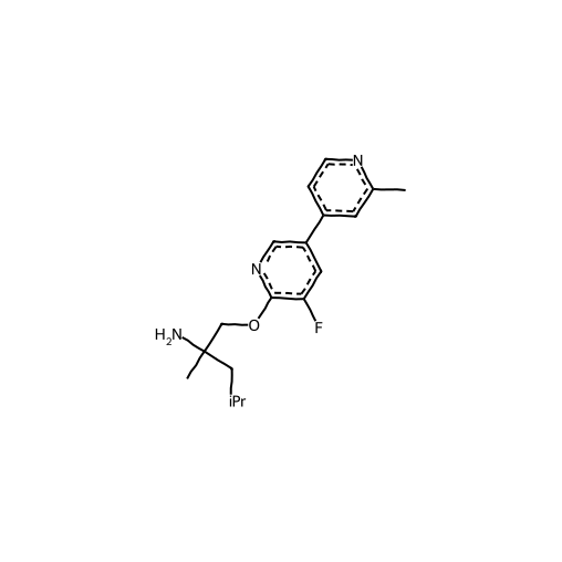 Cc1cc(-c2cnc(OCC(C)(N)CC(C)C)c(F)c2)ccn1